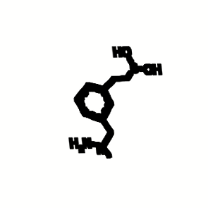 C[C@@H](N)Cc1cccc(CCB(O)O)c1